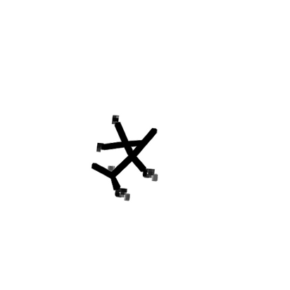 CC1C(F)(F)C1([C@H](C)C(F)(F)F)C(F)(F)F